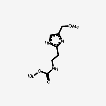 COCc1c[nH]c(CCNC(=O)OC(C)(C)C)n1